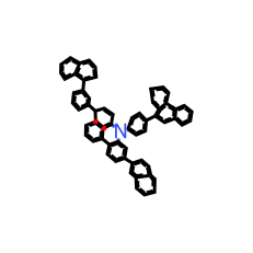 C1=CC(c2cccc(-c3cccc4ccccc34)c2)CC=C1N(c1ccc(-c2cc3ccccc3c3ccccc23)cc1)c1cc(-c2ccc3ccccc3c2)ccc1-c1ccccc1